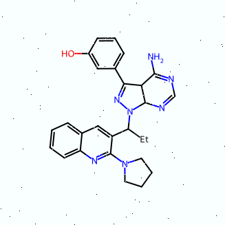 CCC(c1cc2ccccc2nc1N1CCCC1)N1N=C(c2cccc(O)c2)C2C(N)=NC=NC21